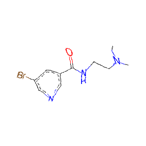 CN(C)CCNC(=O)c1cncc(Br)c1